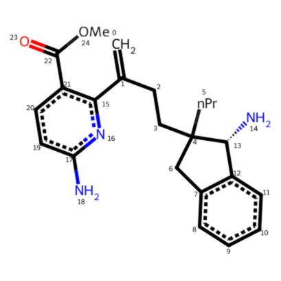 C=C(CCC1(CCC)Cc2ccccc2[C@H]1N)c1nc(N)ccc1C(=O)OC